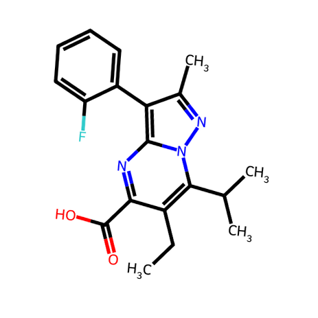 CCc1c(C(=O)O)nc2c(-c3ccccc3F)c(C)nn2c1C(C)C